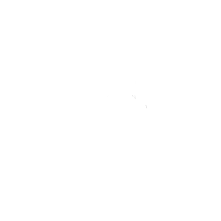 Fc1cc(F)c(N(I)I)cc1F